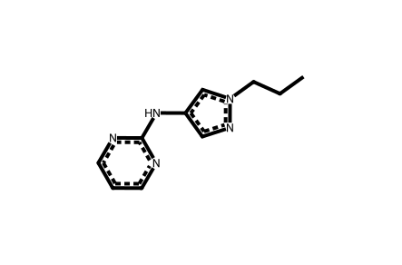 CCCn1cc(Nc2ncccn2)cn1